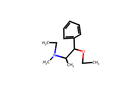 CCOC(c1ccccc1)C(C)N(C)CC